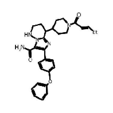 CCC=CC(=O)N1CCC(C2CCNn3c2nc(-c2ccc(Oc4ccccc4)cc2)c3C(N)=O)CC1